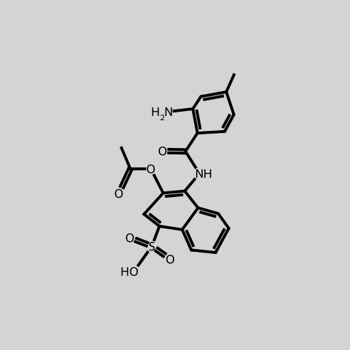 CC(=O)Oc1cc(S(=O)(=O)O)c2ccccc2c1NC(=O)c1ccc(C)cc1N